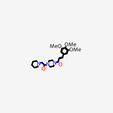 COc1cc(/C=C/C(=O)N2CCN(C(=O)CN3CCCCC3)CC2)cc(OC)c1OC